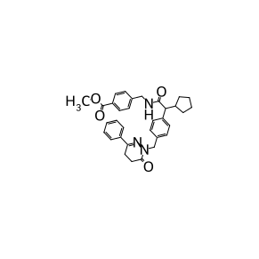 COC(=O)c1ccc(CNC(=O)C(c2ccc(CN3N=C(c4ccccc4)CCC3=O)cc2)C2CCCC2)cc1